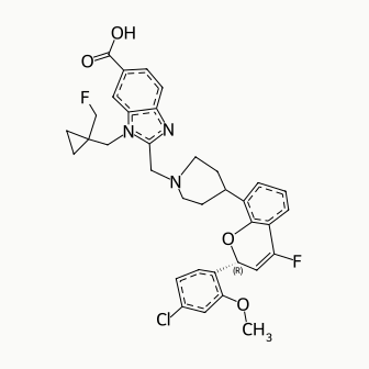 COc1cc(Cl)ccc1[C@H]1C=C(F)c2cccc(C3CCN(Cc4nc5ccc(C(=O)O)cc5n4CC4(CF)CC4)CC3)c2O1